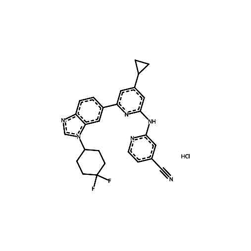 Cl.N#Cc1ccnc(Nc2cc(C3CC3)cc(-c3ccc4ncn(C5CCC(F)(F)CC5)c4c3)n2)c1